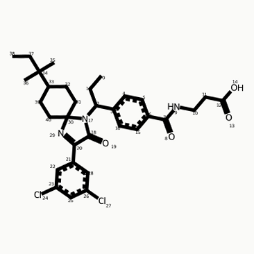 CCC(c1ccc(C(=O)NCCC(=O)O)cc1)N1C(=O)C(c2cc(Cl)cc(Cl)c2)=NC12CCC(C(C)(C)CC)CC2